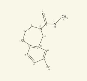 CNC(=O)N1CCOc2ccc(Br)cc2C1